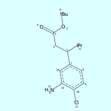 CC(C)C(CC(=O)OC(C)(C)C)c1ccc(Cl)c(N)c1